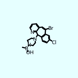 CB(O)N1CCN(C2c3ccc(Cl)cc3C(Br)=Cc3cccnc32)CC1